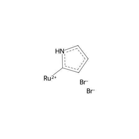 [Br-].[Br-].[Ru+2][c]1ccc[nH]1